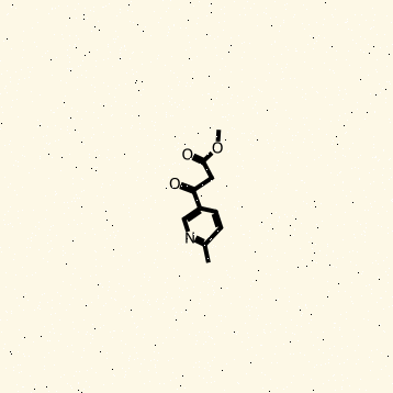 COC(=O)CC(=O)c1ccc(C)nc1